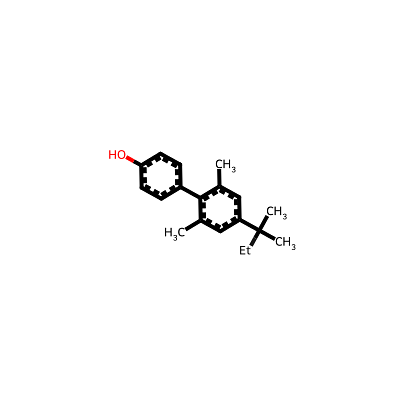 CCC(C)(C)c1cc(C)c(-c2ccc(O)cc2)c(C)c1